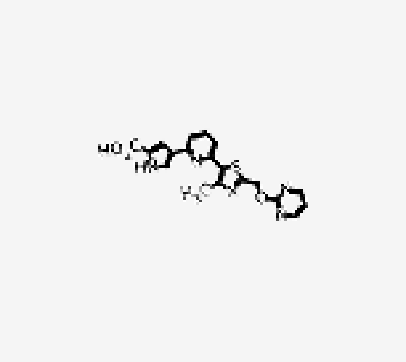 Cc1nc(COc2ncccn2)sc1-c1cccc(-c2c[nH]c(C(=O)O)c2)n1